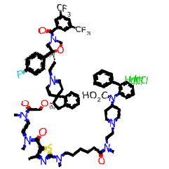 Cc1nc(N(C)CCCCCC(=O)N(C)CCN2CCC(N(C(=O)O)c3ccccc3-c3ccccc3)CC2)sc1C(=O)N(C)CCN(C)C(=O)CO[C@H]1Cc2ccccc2C12CCN(CC[C@]1(c3ccc(F)cc3)CN(C(=O)c3cc(C(F)(F)F)cc(C(F)(F)F)c3)CO1)CC2.Cl.Cl.Cl